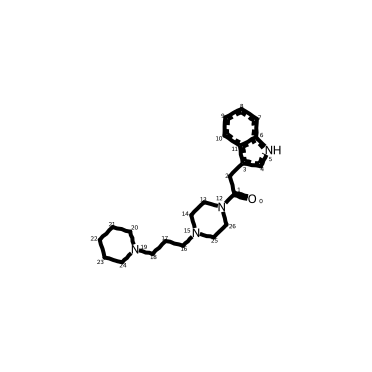 O=C(Cc1c[nH]c2ccccc12)N1CCN(CCCN2CCCCC2)CC1